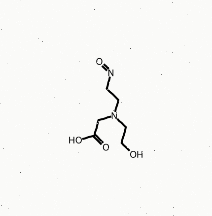 O=NCCN(CCO)CC(=O)O